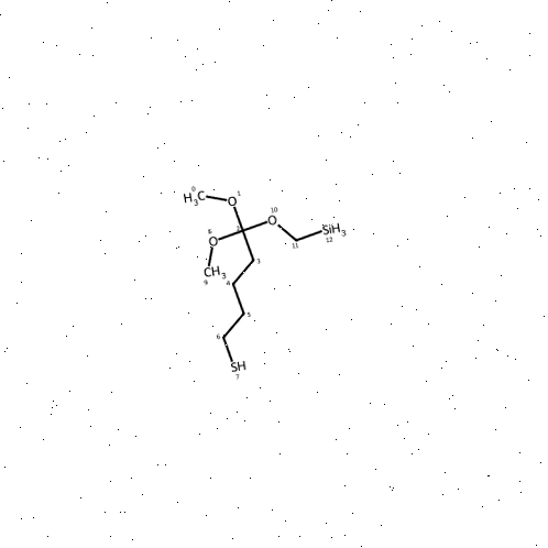 COC(CCCCS)(OC)OC[SiH3]